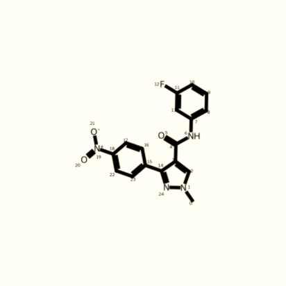 Cn1cc(C(=O)Nc2cccc(F)c2)c(-c2ccc([N+](=O)[O-])cc2)n1